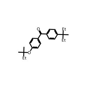 CCC(C)(C)Oc1ccc(C(=O)c2ccc(C(C)(CC)CC)cc2)cc1